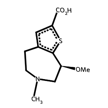 CO[C@H]1CN(C)CCc2cc(C(=O)O)sc21